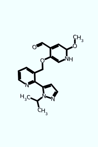 COC1C=C(C=O)C(OCc2cccnc2-c2ccnn2C(C)C)=CN1